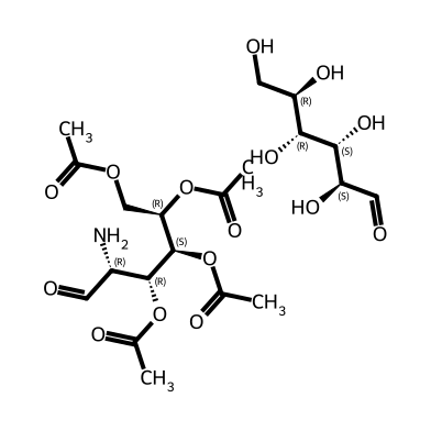 CC(=O)OC[C@@H](OC(C)=O)[C@@H](OC(C)=O)[C@H](OC(C)=O)[C@@H](N)C=O.O=C[C@@H](O)[C@@H](O)[C@H](O)[C@H](O)CO